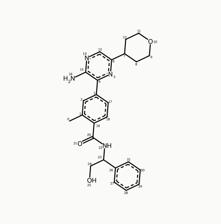 Cc1cc(-c2nc(C3CCOCC3)cnc2N)ccc1C(=O)NC(CO)c1ccccc1